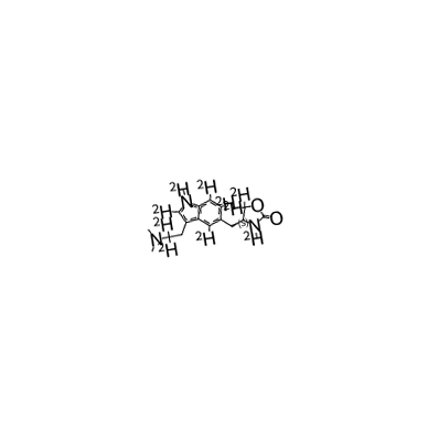 [2H]c1c(C[C@@H]2N([2H])C(=O)OC2([2H])[2H])c([2H])c2c(CC([2H])([2H])N(C)C)c([2H])n([2H])c2c1[2H]